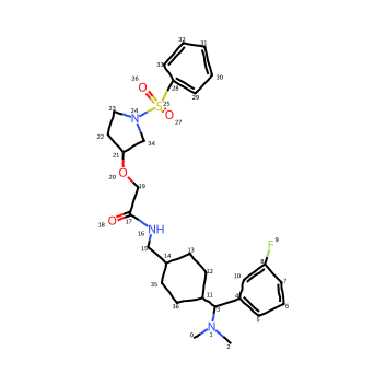 CN(C)C(c1cccc(F)c1)C1CCC(CNC(=O)COC2CCN(S(=O)(=O)c3ccccc3)C2)CC1